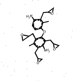 Cc1c(Oc2c(CC3CO3)c(C)c(CC3CO3)c(N)c2CC2CO2)ccc(N)c1CC1CO1